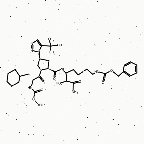 CC(C)(C)OC(=O)N[C@H](CC1CCCCC1)C(=O)N1C[C@@H](n2nncc2C(C)(C)O)C[C@H]1C(=O)NC(CCCCNC(=O)OCc1ccccc1)C(O)C(N)=O